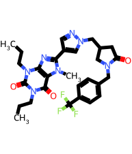 CCCn1c(=O)c2c(nc(-c3cnn(CC4CC(=O)N(Cc5ccc(C(F)(F)F)cc5)C4)c3)n2C)n(CCC)c1=O